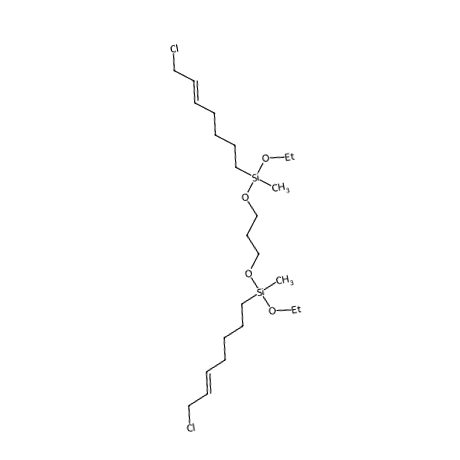 CCO[Si](C)(CCCC/C=C/CCl)OCCCO[Si](C)(CCCC/C=C/CCl)OCC